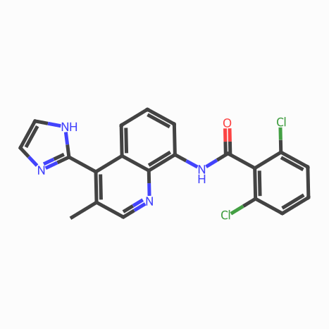 Cc1cnc2c(NC(=O)c3c(Cl)cccc3Cl)cccc2c1-c1ncc[nH]1